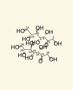 O=C(CO)[C@@H](O)[C@H](O)[C@H](O)[C@H](O)CO.O=C(CO)[C@@H](O)[C@H](O)[C@H](O)[C@H](O)CO